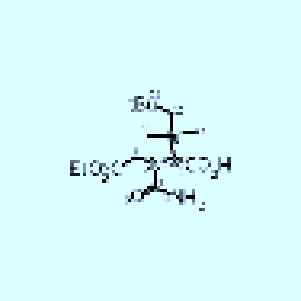 CCOC(=O)CN(C(N)=O)[C@H](C(=O)O)C(C)(C)CC(C)(C)C